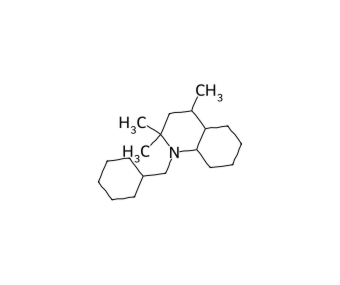 CC1CC(C)(C)N(CC2CCCCC2)C2CCCCC12